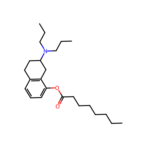 CCCCCCCC(=O)Oc1cccc2c1CC(N(CCC)CCC)CC2